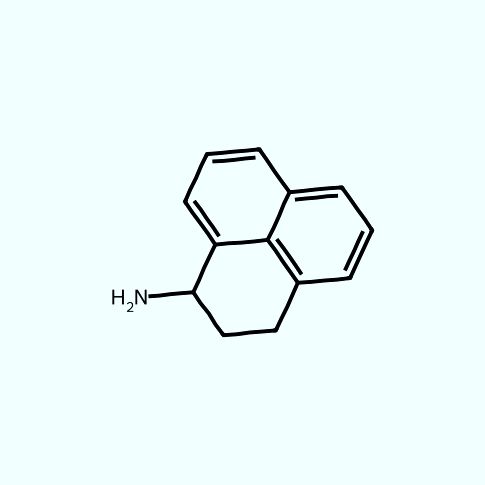 NC1CCc2cccc3cccc1c23